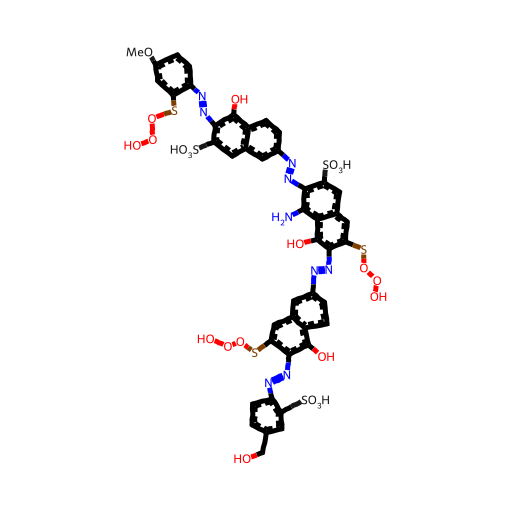 COc1ccc(N=Nc2c(S(=O)(=O)O)cc3cc(N=Nc4c(S(=O)(=O)O)cc5cc(SOOO)c(N=Nc6ccc7c(O)c(N=Nc8ccc(CO)cc8S(=O)(=O)O)c(SOOO)cc7c6)c(O)c5c4N)ccc3c2O)c(SOOO)c1